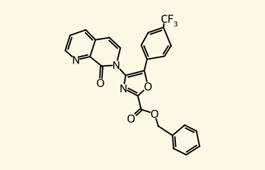 O=C(OCc1ccccc1)c1nc(-n2ccc3cccnc3c2=O)c(-c2ccc(C(F)(F)F)cc2)o1